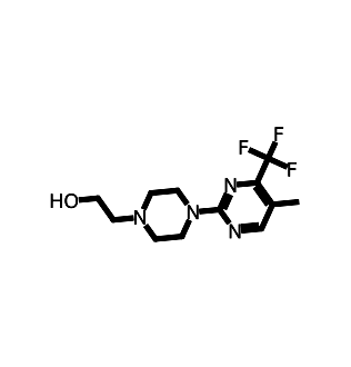 Cc1cnc(N2CCN(CCO)CC2)nc1C(F)(F)F